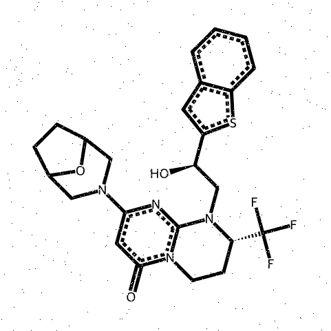 O=c1cc(N2CC3CCC(C2)O3)nc2n1CC[C@@H](C(F)(F)F)N2C[C@@H](O)c1cc2ccccc2s1